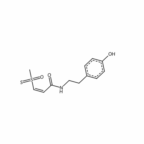 CS(=O)(=S)/C=C\C(=O)NCCc1ccc(O)cc1